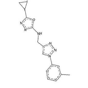 Cc1cccc(-n2cc(CNc3nnc(C4CC4)o3)nn2)c1